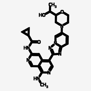 CNc1ncc(-c2nc3ccc(N4CCOC(C(C)O)C4)cn3n2)c2cc(NC(=O)C3CC3)ncc12